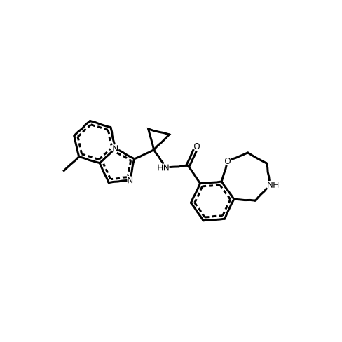 Cc1cccn2c(C3(NC(=O)c4cccc5c4OCCNC5)CC3)ncc12